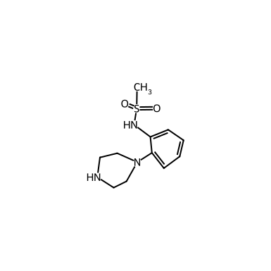 CS(=O)(=O)Nc1ccccc1N1CCNCC1